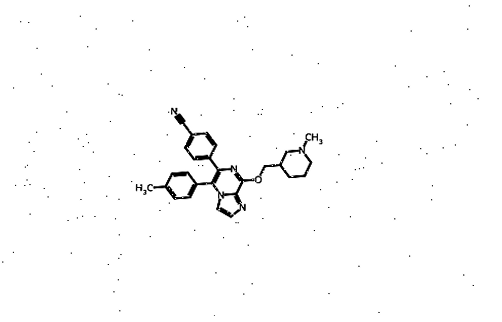 Cc1ccc(-c2c(-c3ccc(C#N)cc3)nc(OCC3CCCN(C)C3)c3nccn23)cc1